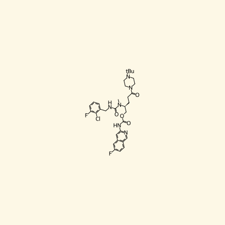 CN(C(=O)NCc1cccc(F)c1Cl)[C@@H](CCC(=O)N1CCN(C(C)(C)C)CC1)COC(=O)Nc1cc2cc(F)ccc2cn1